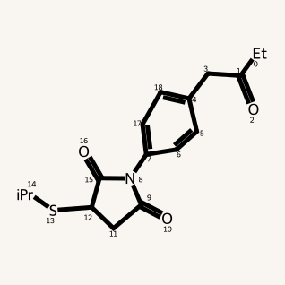 CCC(=O)Cc1ccc(N2C(=O)CC(SC(C)C)C2=O)cc1